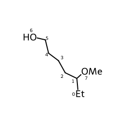 CCC(CCCCO)OC